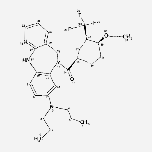 CCCN(CCC)c1ccc2c(c1)N(C(=O)[C@@H]1CC[C@H](OC)[C@H](C(F)(F)F)C1)Cc1cccnc1N2